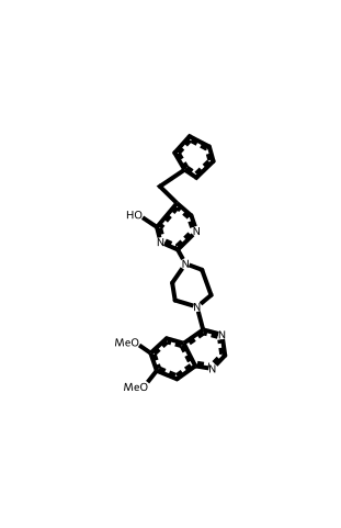 COc1cc2ncnc(N3CCN(c4ncc(Cc5ccccc5)c(O)n4)CC3)c2cc1OC